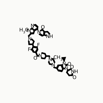 C[C@H]1CN(Cc2ccc3c(c2)n(C2CC2)c(=O)n3[C@H]2CCC(=O)NC2=O)CCN1CC1CCN(C(=O)c2cc(F)c(C3CCN(Cc4cc5c(-n6ccc7c(c6=O)CCN7)ccnc5n4C)CC3)c(F)c2)CC1